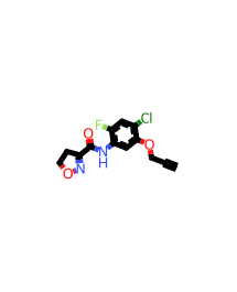 C#CCOc1cc(NC(=O)C2=NOCC2)c(F)cc1Cl